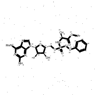 CNc1nc(N)nc2c1ncn2[C@@H]1O[C@H](COP(=O)(N[C@@H](C)C(=O)OC(C)C)SOc2ccccc2)[C@@H](O)[C@H]1F